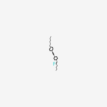 CCCCCCc1ccc(C#Cc2ccc(C=C(F)CCCC)cc2)cc1